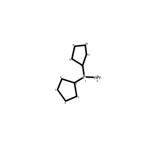 CCCP(C1CCCC1)C1CCCC1